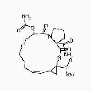 CC(C)(C)[S@+]([O-])C12CC1C=CCCCCCC(OC(N)=O)C(=O)N1CCCC1(C(N)=O)C(=O)N2